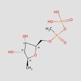 C[C@@H]1O[C@H](COP(C)(=O)OP(=O)(O)O)[C@@H](O)[C@H]1O